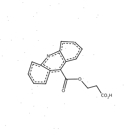 O=C(O)CCOC(=O)c1c2ccccc2nc2ccccc12